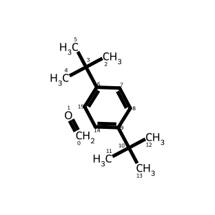 C=O.CC(C)(C)c1ccc(C(C)(C)C)cc1